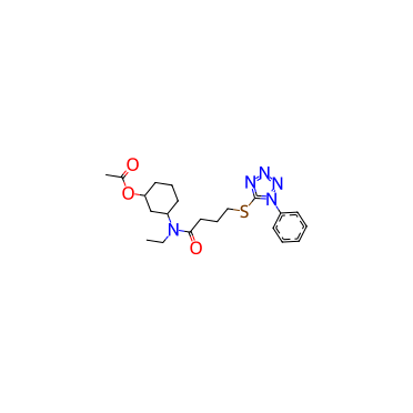 CCN(C(=O)CCCSc1nnnn1-c1ccccc1)C1CCCC(OC(C)=O)C1